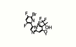 COc1cc2ncc(-c3nc(Br)c(F)cc3F)n2nc1C(C)(O)C(F)(F)F